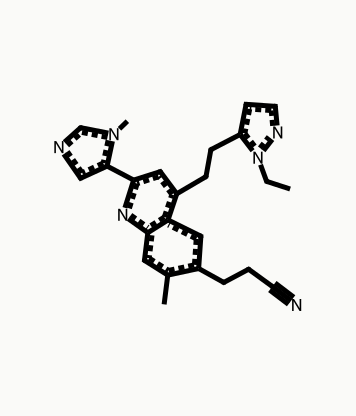 CCn1nccc1CCc1cc(-c2cncn2C)nc2cc(C)c(CCC#N)cc12